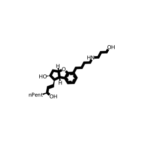 CCCCC[C@H](O)/C=C/[C@@H]1[C@H]2c3cccc(CCCCNCCCO)c3O[C@H]2C[C@H]1O